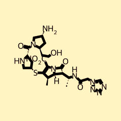 C[C@@H](NC(=O)Cn1cnnn1)[C@H]1C(=O)N2C(C(=O)O)=C(S[C@@H]3CN[C@H](C(=O)N4C[C@H](N)C[C@H]4CCO)C3)[C@H](C)[C@H]12